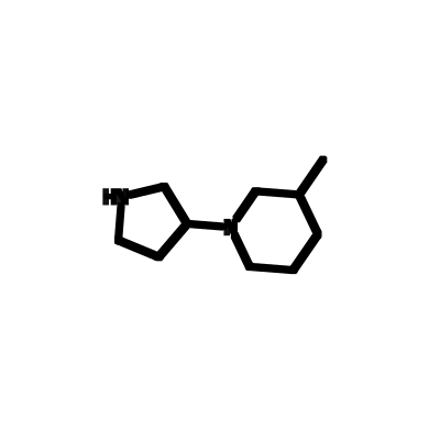 CC1CCCN(C2CCNC2)C1